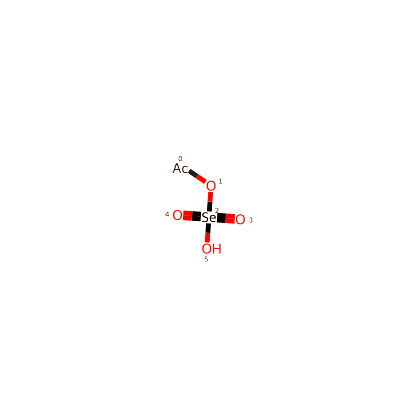 CC(=O)O[Se](=O)(=O)O